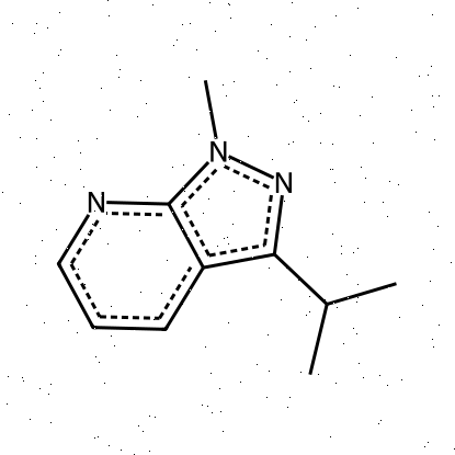 CC(C)c1nn(C)c2ncccc12